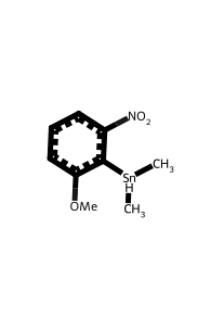 COc1cccc([N+](=O)[O-])[c]1[SnH]([CH3])[CH3]